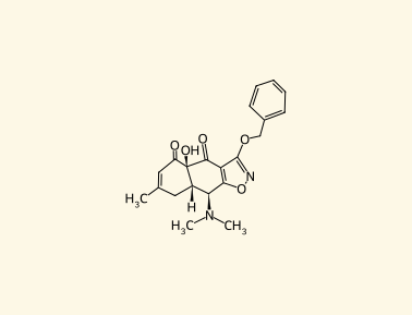 CC1=CC(=O)[C@]2(O)C(=O)c3c(OCc4ccccc4)noc3[C@@H](N(C)C)[C@@H]2C1